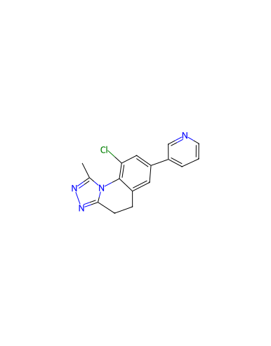 Cc1nnc2n1-c1c(Cl)cc(-c3cccnc3)cc1CC2